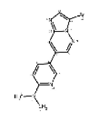 CN(C)c1ccc(-c2cnn3c(Br)cnc3c2)cn1